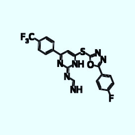 N=C/N=c1/nc(-c2ccc(C(F)(F)F)cc2)cc(Sc2nnc(-c3ccc(F)cc3)o2)[nH]1